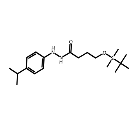 CC(C)c1ccc(NNC(=O)CCCO[Si](C)(C)C(C)(C)C)cc1